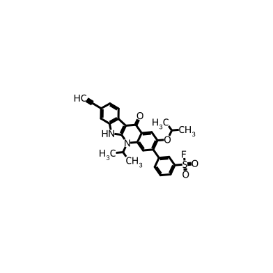 C#Cc1ccc2c(c1)[nH]c1c2c(=O)c2cc(OC(C)C)c(-c3cccc(S(=O)(=O)F)c3)cc2n1C(C)C